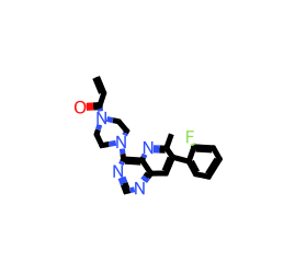 C=CC(=O)N1CCN(c2ncnc3cc(-c4ccccc4F)c(C)nc23)CC1